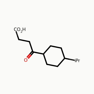 CC(C)C1CCC(C(=O)CCC(=O)O)CC1